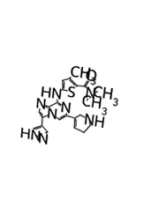 Cc1cc(Nc2nc(C3=CCCNC3)cn3c(-c4cn[nH]c4)cnc23)sc1C(=O)N(C)C